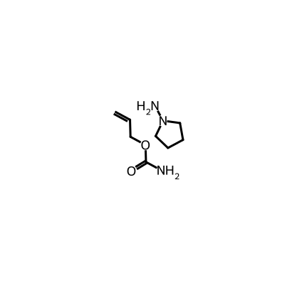 C=CCOC(N)=O.NN1CCCC1